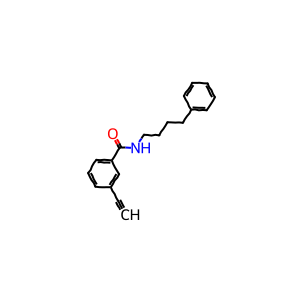 C#Cc1cccc(C(=O)NCCCCc2ccccc2)c1